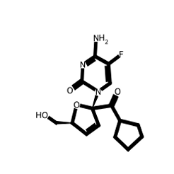 Nc1nc(=O)n([C@@]2(C(=O)C3CCCC3)C=C[C@@H](CO)O2)cc1F